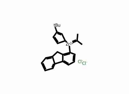 C[C](C)=[Zr+2]([c]1cccc2c1Cc1ccccc1-2)[CH]1C=CC(C(C)(C)C)=C1.[Cl-].[Cl-]